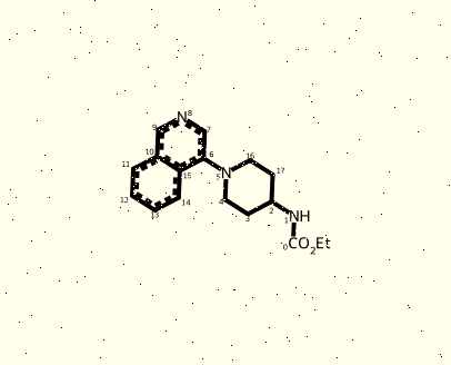 CCOC(=O)NC1CCN(c2cncc3ccccc23)CC1